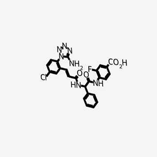 Nc1nnnn1-c1ccc(Cl)cc1/C=C/C(=O)NC(C(=O)Nc1ccc(C(=O)O)cc1F)c1ccccc1